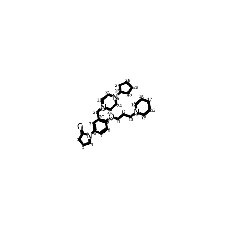 O=C1CCCN1c1ccc(OCCCN2CCCCC2)c(CN2CCN(C3CCCC3)CC2)c1